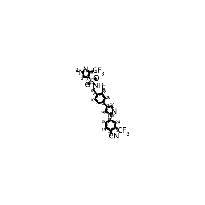 Cn1cc(S(=O)(=O)NCc2ccc(-c3cnn(-c4ccc(C#N)c(C(F)(F)F)c4)c3)cc2F)c(C(F)(F)F)n1